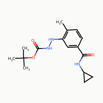 Cc1ccc(C(=O)NC2CC2)cc1NNC(=O)OC(C)(C)C